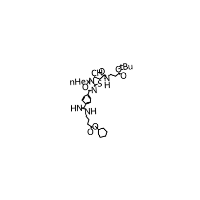 CCCCCCN1C(=NC(=O)c2ccc(C(=N)NCCCC(=O)OC3CCCCC3)cc2)SC(C(=O)NCCC(=O)OC(C)(C)C)C1C